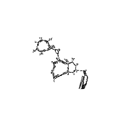 O=CC1=Cc2cccc(Oc3ccccc3)c2CC1